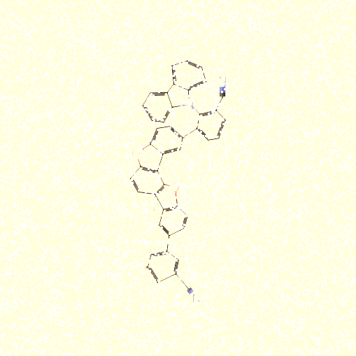 N#Cc1cccc(-c2ccc3oc4c(ccc5oc6ccc(-c7cccc(C#N)c7-n7c8ccccc8c8ccccc87)cc6c54)c3c2)c1